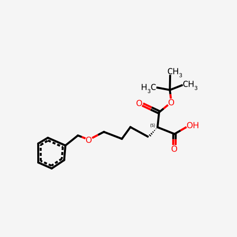 CC(C)(C)OC(=O)[C@@H](CCCCOCc1ccccc1)C(=O)O